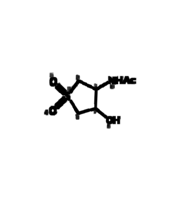 CC(=O)NC1CS(=O)(=O)CC1O